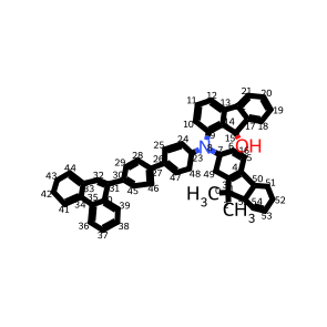 CC1(C)C2=C(C=CC(N(c3cccc4c3C(O)c3ccccc3-4)C3C=CC(c4ccc(-c5cc6c(c7ccccc57)=CCCC=6)cc4)=CC3)C2)C2CCC=CC21